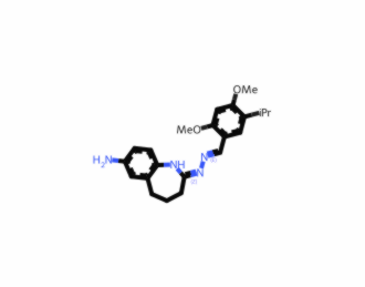 COc1cc(OC)c(C(C)C)cc1/C=N/N=C1/CCCc2cc(N)ccc2N1